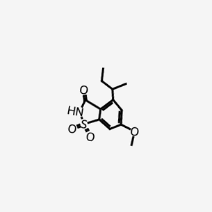 CCC(C)c1cc(OC)cc2c1C(=O)NS2(=O)=O